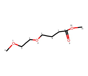 COCCOCCCC(=O)OC